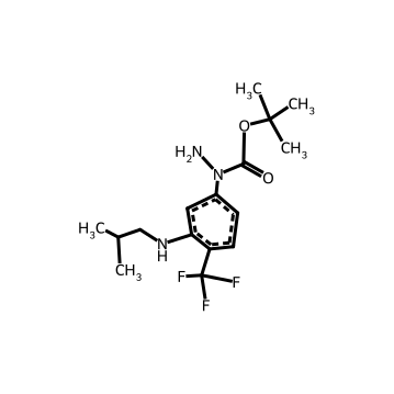 CC(C)CNc1cc(N(N)C(=O)OC(C)(C)C)ccc1C(F)(F)F